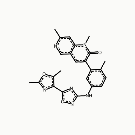 Cc1cc2c(cn1)cc(-c1cc(Nc3noc(-c4nc(C)oc4C)n3)ccc1C)c(=O)n2C